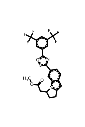 COC(=O)CC1CCc2cc3ccc(-c4noc(-c5cc(C(F)(F)F)cc(C(F)(F)F)c5)n4)cc3n21